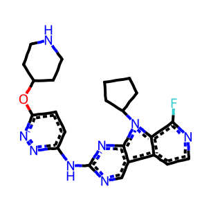 Fc1nccc2c3cnc(Nc4ccc(OC5CCNCC5)nn4)nc3n(C3CCCC3)c12